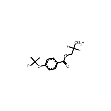 CC(C)C(C)(C)Oc1ccc(C(=O)OCC(F)(F)C(=O)O)cc1